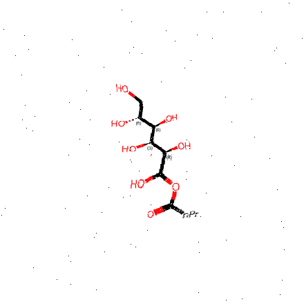 CCCC(=O)OC(O)[C@H](O)[C@@H](O)[C@H](O)[C@H](O)CO